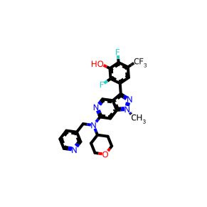 Cn1nc(-c2cc(C(F)(F)F)c(F)c(O)c2F)c2cnc(N(Cc3cccnc3)C3CCOCC3)cc21